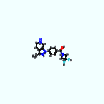 O=C(c1ccc(-n2nc(C(F)(F)F)c3c2CNCC3)cc1)N1CC(F)(F)C1